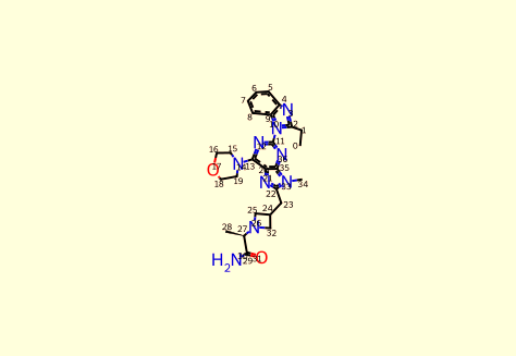 CCc1nc2ccccc2n1-c1nc(N2CCOCC2)c2nc(CC3CN([C@H](C)C(N)=O)C3)n(C)c2n1